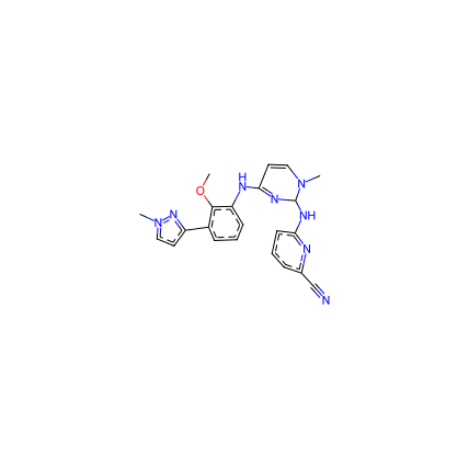 COc1c(NC2=NC(Nc3cccc(C#N)n3)N(C)C=C2)cccc1-c1ccn(C)n1